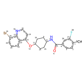 Cc1ccc(C(=O)NC2CCC(Oc3ccnc4c(Br)cccc34)CC2)cc1F